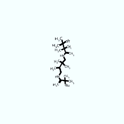 C=C(NCC(C)C(C)(C)CNC(=C)C(C)(C)C(C)(C)CCC)C(C)(C)C(C)(C)C